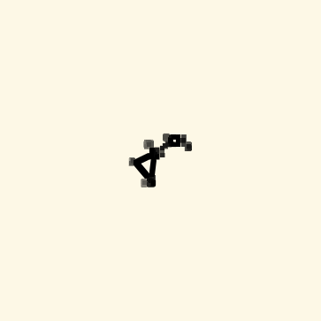 C[N@@]1CS1